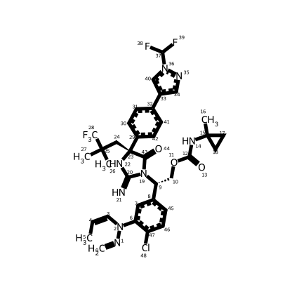 C=NN(/C=C\C)c1cc([C@@H](COC(=O)NC2(C)CC2)N2C(=N)N[C@](CC(C)(C)C(F)(F)F)(c3ccc(-c4cnn(C(F)F)c4)cc3)C2=O)ccc1Cl